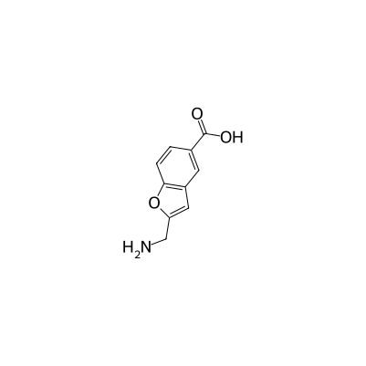 NCc1cc2cc(C(=O)O)ccc2o1